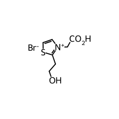 O=C(O)C[n+]1ccsc1CCO.[Br-]